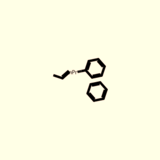 C=CC.CCCc1ccccc1.c1ccccc1